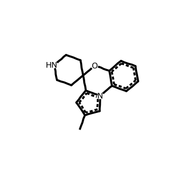 Cc1cc2n(c1)-c1ccccc1OC21CCNCC1